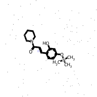 C[Si](C)(C)Oc1ccc(/C=C/C(=O)N2CCCCC2)c(O)c1